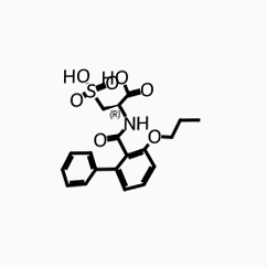 CCCOc1cccc(-c2ccccc2)c1C(=O)N[C@@H](CS(=O)(=O)O)C(=O)O